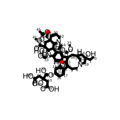 CC[C@]1(O)C[C@H]2C[N@](CCc3c([nH]c4ccccc34)[C@@](C(=O)OC)(c3cc4c(cc3OC)N(C=O)[C@H]3[C@@](O)(C(=O)OC)[C@H](OC(C)=O)[C@]5(CC)C=CCN6CC[C@]43[C@@H]65)C2)C1.O=C(O)CC(O)(CC(=O)O)C(=O)O